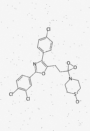 [O-][S+]1CCN(C2(CCc3oc(-c4ccc(Cl)c(Cl)c4)nc3-c3ccc(Cl)cc3)OO2)CC1